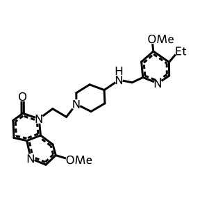 CCc1cnc(CNC2CCN(CCn3c(=O)ccc4ncc(OC)cc43)CC2)cc1OC